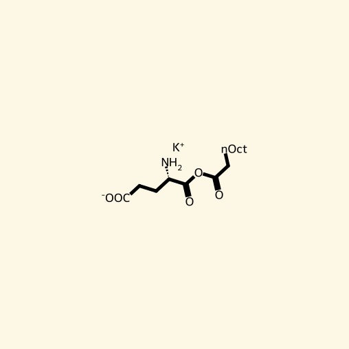 CCCCCCCCCC(=O)OC(=O)[C@@H](N)CCC(=O)[O-].[K+]